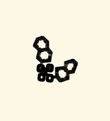 O=S(=O)(Oc1ccc2ccccc2c1)Oc1ccc2ccccc2c1